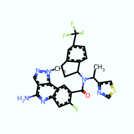 CC(c1cscn1)N(C(=O)c1cc2c(cc1F)nc(N)c1cnn(C)c12)C1CCc2cc(C(F)(F)F)ccc21